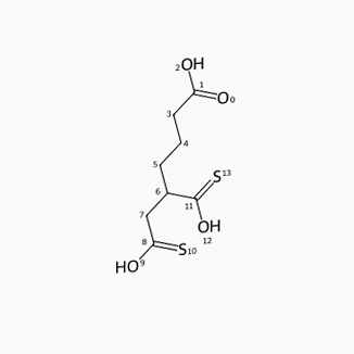 O=C(O)CCCC(CC(O)=S)C(O)=S